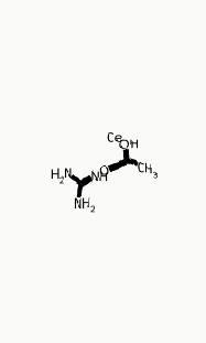 CC(=O)O.N=C(N)N.[Ce]